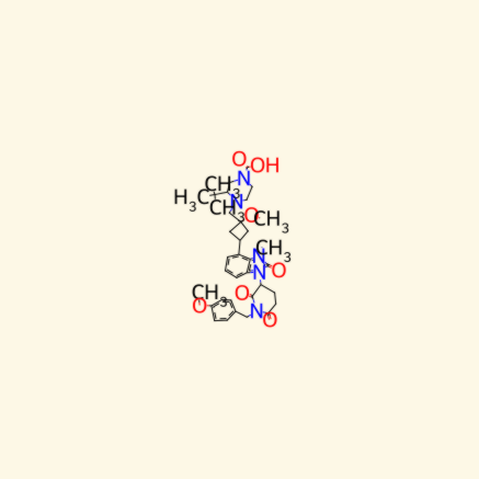 COc1ccc(CN2C(=O)CCC(n3c(=O)n(C)c4c(C5CC(CN6CCN(C(=O)O)CC6C(C)(C)C)(OC)C5)cccc43)C2=O)cc1